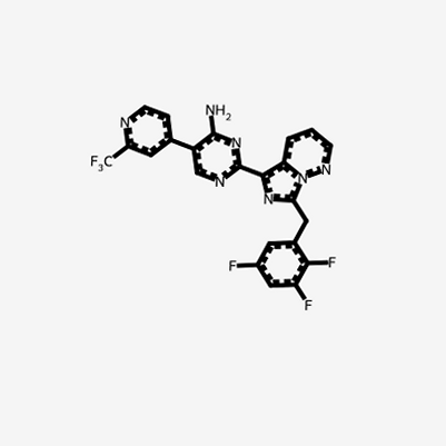 Nc1nc(-c2nc(Cc3cc(F)cc(F)c3F)n3ncccc23)ncc1-c1ccnc(C(F)(F)F)c1